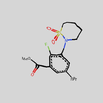 CCCc1cc(C(=O)OC)c(F)c(N2CCCCS2(=O)=O)c1